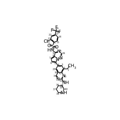 CCc1cc(-c2ccc3c(NS(=O)(=O)c4ccc(C(F)(F)F)cc4Cl)ncnn23)cc2cnc(N[C@H]3CCCNC3)nc12